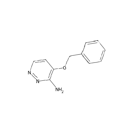 Nc1nnccc1OCc1ccccc1